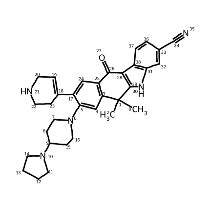 CC1(C)c2cc(N3CCC(N4CCCC4)CC3)c(C3=CCNCC3)cc2C(=O)c2c1[nH]c1cc(C#N)ccc21